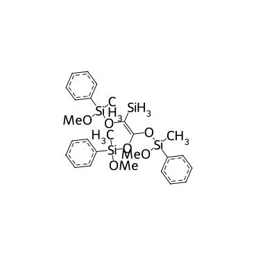 CO[Si](C)(OC([SiH3])=C(O[Si](C)(OC)c1ccccc1)O[Si](C)(OC)c1ccccc1)c1ccccc1